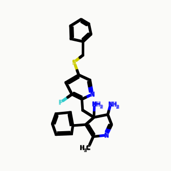 CC1=C(c2ccccc2)C(N)(Cc2ncc(SCc3ccccc3)cc2F)C(N)C=N1